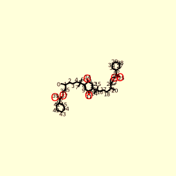 CC(CCCC(C)(C)C1=CC(=O)C(C(C)(C)CCCC(C)CCOC(=O)C2CCCCC2)=CC1=O)CCOC(=O)C1CCCCC1